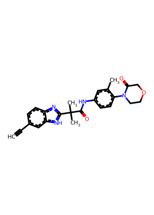 C#Cc1ccc2nc(C(C)(C)C(=O)Nc3ccc(N4CCOCC4=O)c(C)c3)[nH]c2c1